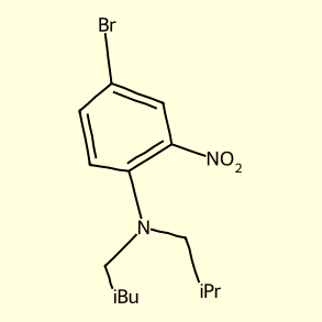 CCC(C)CN(CC(C)C)c1ccc(Br)cc1[N+](=O)[O-]